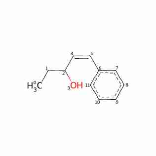 CCC(O)/C=C\c1ccccc1